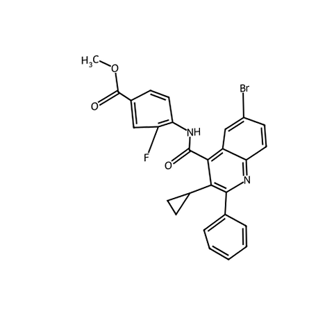 COC(=O)c1ccc(NC(=O)c2c(C3CC3)c(-c3ccccc3)nc3ccc(Br)cc23)c(F)c1